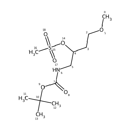 COCCC(CNC(=O)OC(C)(C)C)OS(C)(=O)=O